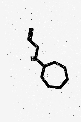 C=CCNC1CCCCCC1